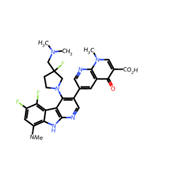 CNc1cc(F)c(F)c2c1[nH]c1ncc(-c3cnc4c(c3)c(=O)c(C(=O)O)cn4C)c(N3CCC(F)(CN(C)C)C3)c12